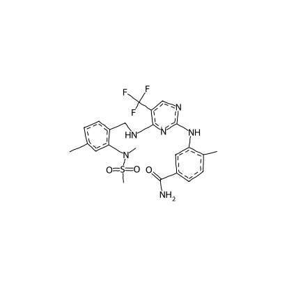 Cc1ccc(CNc2nc(Nc3cc(C(N)=O)ccc3C)ncc2C(F)(F)F)c(N(C)S(C)(=O)=O)c1